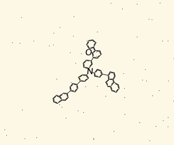 c1cc(-c2cccc3c2oc2ccccc23)cc(N(c2ccc(-c3ccc(-c4ccc5ccccc5c4)cc3)cc2)c2ccc(-c3cccc4c3ccc3ccccc34)cc2)c1